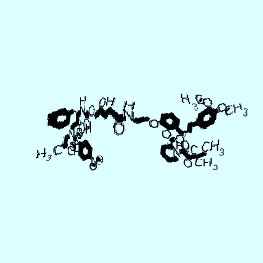 CCC(C)(C)C(=O)C(=O)N1CCCC[C@H]1C(=O)O[C@H](CCc1ccc(OC)c(OC)c1)c1cccc(OCCNC(=O)CCC(O)COC(=O)N[C@@H](Cc2ccccc2)[C@H](O)CN(CC(C)C)S(=O)(=O)c2ccc([N+](=O)[O-])cc2)c1